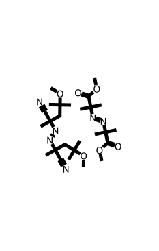 COC(=O)C(C)(C)N=NC(C)(C)C(=O)OC.COC(C)(C)CC(C)(C#N)N=NC(C)(C#N)CC(C)(C)OC